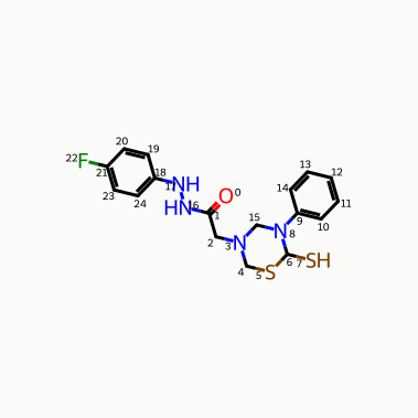 O=C(CN1CSC(S)N(c2ccccc2)C1)NNc1ccc(F)cc1